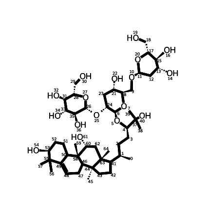 C[C@H](CC[C@@H](O[C@@H]1O[C@H](CO[C@@H]2C[C@@H](O)[C@H](O)[C@@H](CO)O2)[C@@H](O)C[C@H]1O[C@H]1O[C@@H](CO)[C@H](O)[C@@H](O)[C@@H]1O)C(C)(C)O)C1CC[C@@]2(C)C3CC=C4C(CC[C@H](O)C4(C)C)[C@]3(C)[C@H](O)C[C@]12C